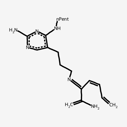 C=C/C=C\C(=N/CCCc1cnc(N)nc1NCCCCC)C(=C)N